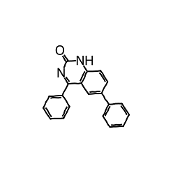 O=c1nc(-c2ccccc2)c2cc(-c3ccccc3)ccc2[nH]1